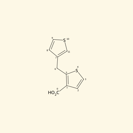 O=C(O)c1ccsc1Cc1ccsc1